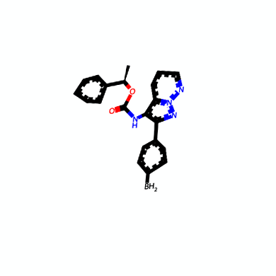 Bc1ccc(-c2nn3ncccc3c2NC(=O)O[C@H](C)c2ccccc2)cc1